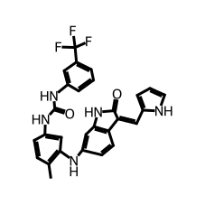 Cc1ccc(NC(=O)Nc2cccc(C(F)(F)F)c2)cc1Nc1ccc2c(c1)NC(=O)C2=Cc1ccc[nH]1